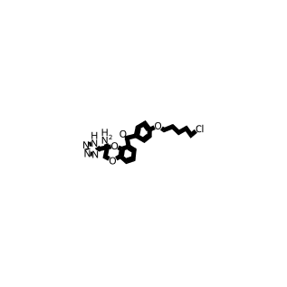 NC1(c2nnn[nH]2)COc2cccc(C(=O)c3ccc(OCCCCCCl)cc3)c2O1